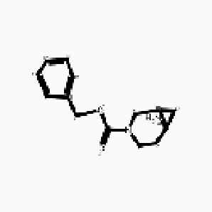 NC12CCN(C(=O)OCc3ccccc3)CC1C2